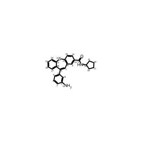 Nc1cccc(C2=Cc3cc(C(=O)NC4CCCC4)ccc3Sc3ccccc32)c1